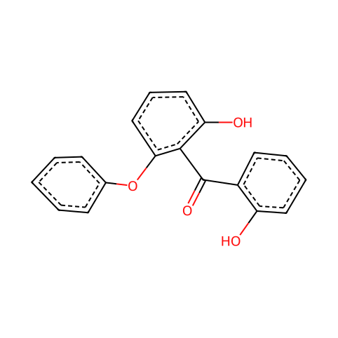 O=C(c1ccccc1O)c1c(O)cccc1Oc1ccccc1